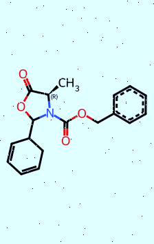 C[C@@H]1C(=O)OC(C2C=CC=CC2)N1C(=O)OCc1ccccc1